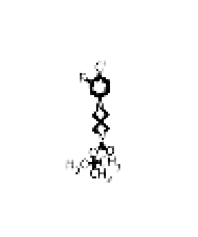 CC(C)(C)OC(=O)N1CC2(C1)CN(c1ccc(Cl)c(F)c1)C2